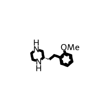 COc1ccccc1CC[C@H]1CNCCN1